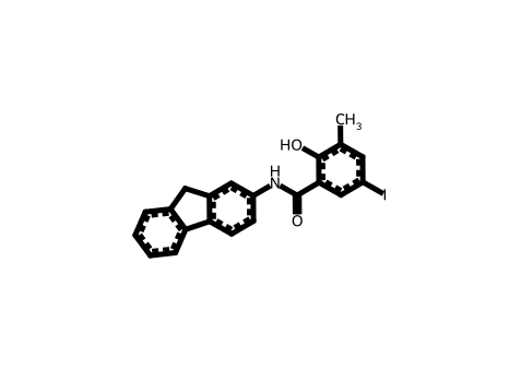 Cc1cc(I)cc(C(=O)Nc2ccc3c(c2)Cc2ccccc2-3)c1O